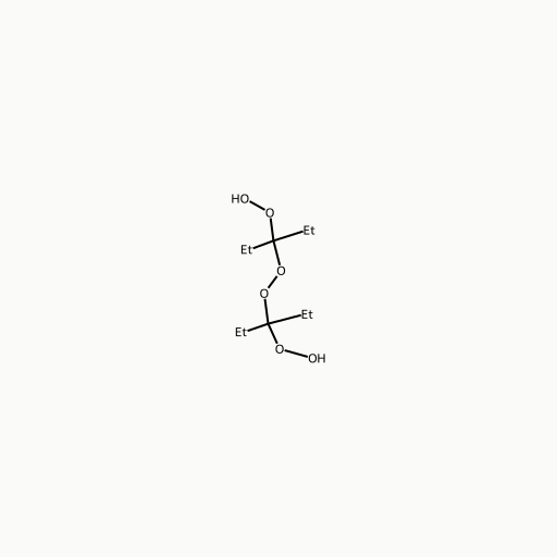 CCC(CC)(OO)OOC(CC)(CC)OO